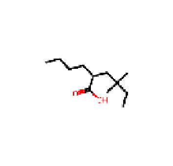 CCCCC(CC(C)(C)CC)C(=O)O